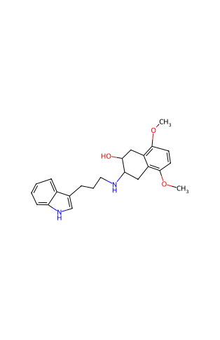 COc1ccc(OC)c2c1CC(O)C(NCCCc1c[nH]c3ccccc13)C2